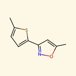 Cc1cc(-c2ccc(C)s2)no1